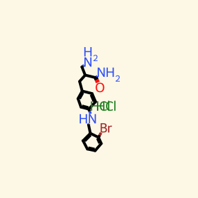 Cl.Cl.NCC(Cc1ccc(NCc2ccccc2Br)cc1)C(N)=O